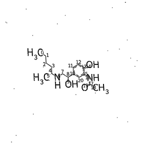 CCCC[C@@H](C)NC[C@H](O)c1ccc(O)c(NC(C)=O)c1